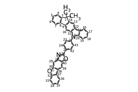 CC1(C)c2ccccc2-c2cc3c(cc21)c1ccccc1n3-c1ccc(-c2nc3cc4oc5ccccc5c4cc3o2)cc1